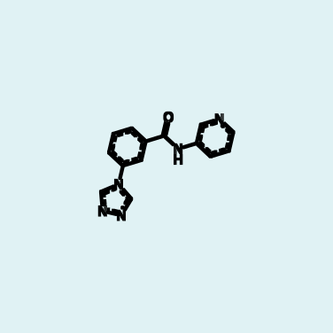 O=C(Nc1cccnc1)c1cccc(-n2cnnc2)c1